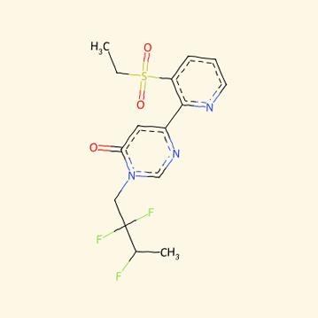 CCS(=O)(=O)c1cccnc1-c1cc(=O)n(CC(F)(F)C(C)F)cn1